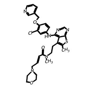 Cc1sc2ncnc(Nc3ccc(OCc4cccnc4)c(Cl)c3)c2c1CCN(C)C(=O)/C=C/CN1CCOCC1